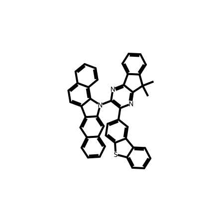 CC1(C)c2ccccc2-c2nc(-n3c4cc5ccccc5cc4c4ccc5ccccc5c43)c(-c3ccc4sc5ccccc5c4c3)nc21